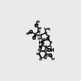 CCC1CN2CC[C@@]3(O)C(=Nc4cccc(OC)c43)[C@@H]2C[C@@H]1/C(=C/OC)C(=O)OC